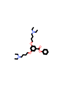 CCN(CC)CCCCOc1cc(OCCCCN(CC)CC)cc(C(=O)Oc2ccccc2)c1